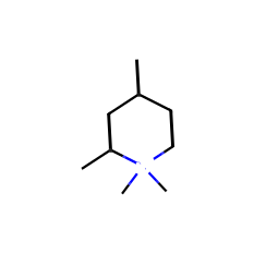 CC1CC[N+](C)(C)C(C)C1